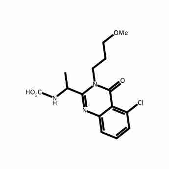 COCCCn1c(C(C)NC(=O)O)nc2cccc(Cl)c2c1=O